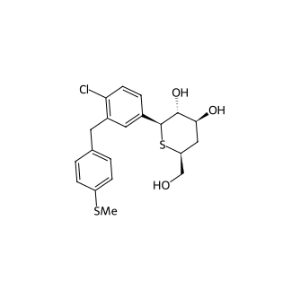 CSc1ccc(Cc2cc([C@@H]3S[C@H](CO)C[C@H](O)[C@H]3O)ccc2Cl)cc1